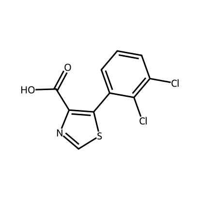 O=C(O)c1ncsc1-c1cccc(Cl)c1Cl